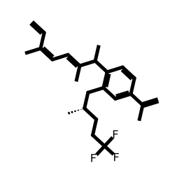 C=C/C(C)=C\C=C(/C)C(C)c1ccc(C(=C)C)cc1C[C@@H](C)CCC(F)(F)F